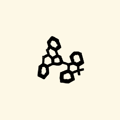 C[Si]1(C)c2ccccc2N(c2cc3c4c(c2)-c2ccccc2OB4Oc2ccccc2-3)c2ccccc21